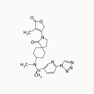 CC1=C(N2CCC3(CCC(N(C)[C@H](C)c4ccc(-n5cnnn5)nc4)CC3)C2=O)COC1=O